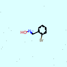 O/N=C/c1ccccc1Br